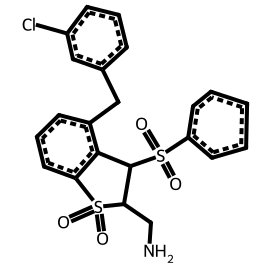 NCC1C(S(=O)(=O)c2ccccc2)c2c(Cc3cccc(Cl)c3)cccc2S1(=O)=O